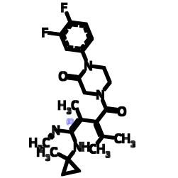 C=N/C(NC1(C)CC1)=C(\C)C(C(=O)N1CCN(c2ccc(F)c(F)c2)C(=O)C1)=C(C)C